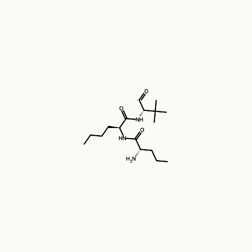 CCCC[C@H](NC(=O)[C@@H](N)CCC)C(=O)N[C@H]([C]=O)C(C)(C)C